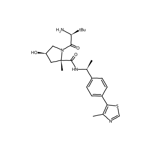 Cc1ncsc1-c1ccc([C@H](C)NC(=O)[C@]2(C)C[C@@H](O)CN2C(=O)[C@@H](N)C(C)(C)C)cc1